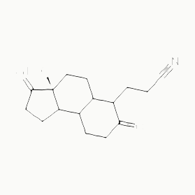 C[C@@]12CCC3C(CCC#N)C(=O)CCC3C1CCC2=O